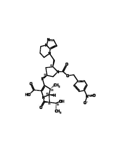 C[C@@H](O)[C@H]1C(=O)N2C(C(=O)O)=C(S[C@H]3C[C@@H](CN4CCCn5nccc54)N(C(=O)OCc4ccc([N+](=O)[O-])cc4)C3)[C@H](C)[C@H]12